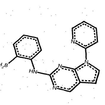 Bc1ccccc1Nc1ncc2ccn(-c3ccccn3)c2n1